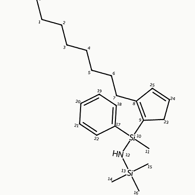 CCCCCCCCC1=C([Si](C)(N[Si](C)(C)C)c2ccccc2)CC=C1